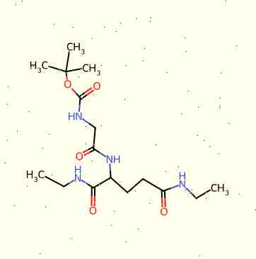 CCNC(=O)CCC(NC(=O)CNC(=O)OC(C)(C)C)C(=O)NCC